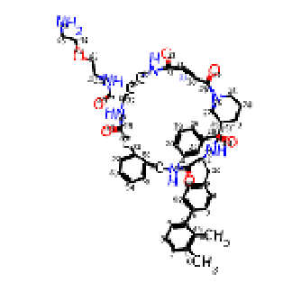 Cc1cccc(-c2ccc(C[C@@H]3NC(=O)[C@]4(Cc5ccccc5)CCCN(C4)C(=O)/C=C/C(=O)NCC[C@@H](C(=O)NCCOCCN)NC(=O)Cc4ccccc4CNC3=O)cc2)c1C